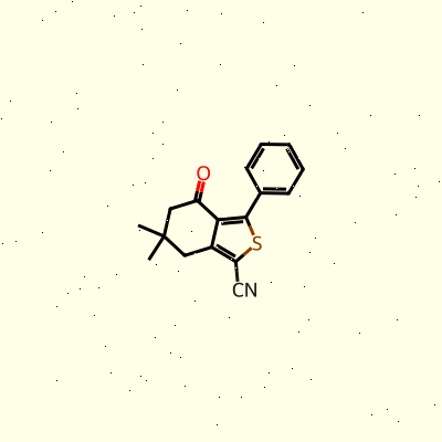 CC1(C)CC(=O)c2c(-c3ccccc3)sc(C#N)c2C1